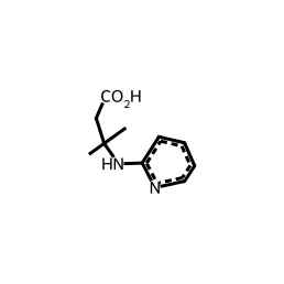 CC(C)(CC(=O)O)Nc1ccccn1